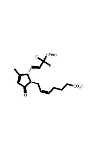 CCCCCC(F)(F)/C=C/[C@H]1C(C)=CC(=O)[C@@H]1C/C=C\CCCC(=O)O